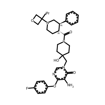 CC(C)C1(N2CC[C@@H](C(=O)N3CCC(O)(Cn4cnc(Oc5ccc(F)cc5)c(N)c4=O)CC3)[C@H](c3ccccc3)C2)COC1